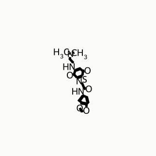 CN(C)CCNC1=CC(=O)c2sc(C(=O)Nc3ccc4c(c3)OCO4)nc2C1=O